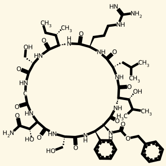 CC[C@H](C)[C@@H]1NC(=O)[C@@H](CCCNC(=N)N)NC(=O)[C@H](CC(C)C)NC(=O)[C@H]([C@H](O)C(C)C)NC(=O)[C@@H](NC(=O)OCc2ccccc2)[C@@H](c2ccccc2)NC(=O)[C@H](CO)NC(=O)C([C@H](O)C(N)=O)NC(=O)CNC(=O)[C@H](CO)NC1=O